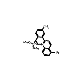 CCCc1cccc2c1ccc1[n+]2C2C(c3ccc(C)cc3-1)[N+]2(OC)OC